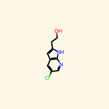 OCCc1cc2cc(Cl)cnc2[nH]1